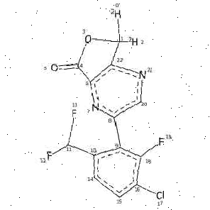 [2H]C1([2H])OC(=O)c2nc(-c3c(C(F)F)ccc(Cl)c3F)cnc21